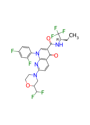 CC[C@@H](NC(=O)c1cn(-c2ccc(F)cc2F)c2nc(N3CCOC(C(F)F)C3)ccc2c1=O)C(F)(F)F